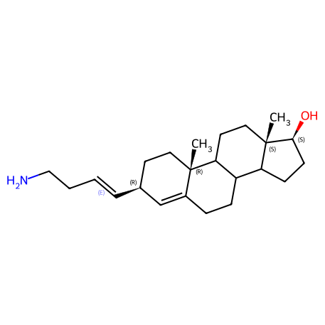 C[C@]12CC[C@H](/C=C/CCN)C=C1CCC1C2CC[C@@]2(C)C1CC[C@@H]2O